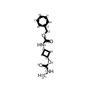 CNC(=O)O[C@H]1C[C@H](NC(=O)OCc2ccccc2)C1